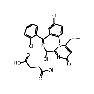 CCc1cc(=O)nc2n1-c1ccc(Cl)cc1C(c1ccccc1Cl)=NC2O.O=C(O)CCC(=O)O